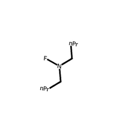 CCCCN(F)CCCC